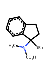 CN(C(=O)O)C1(C(C)(C)C)CCc2ccccc21